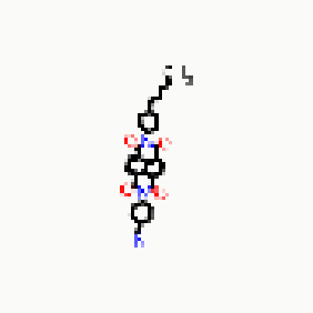 CCCCCC1CCC(N2C(=O)c3ccc4c5c(ccc(c35)C2=O)C(=O)N(C2CCC(C#N)CC2)C4=O)CC1